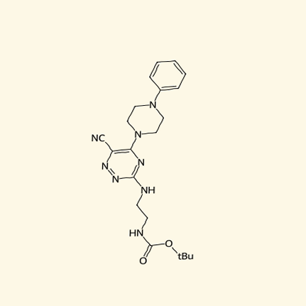 CC(C)(C)OC(=O)NCCNc1nnc(C#N)c(N2CCN(c3ccccc3)CC2)n1